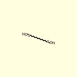 OCSCCCCCCCCCCCCSCO